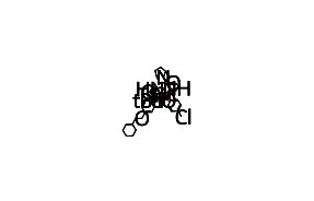 CC(C)(C)OC(=O)NC1CC2CCC(C1)N2C(=O)C(NS(=O)(=O)c1ccc(OCC2CCCCC2)cc1)C(F)(F)c1ccc(Cl)cc1